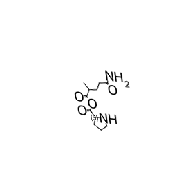 CC(CCC(N)=O)C(=O)OC(=O)[C@@H]1CCCN1